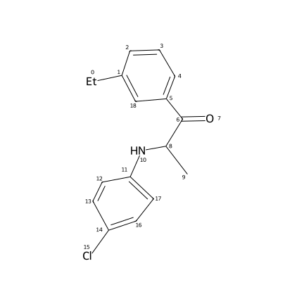 CCc1cccc(C(=O)C(C)Nc2ccc(Cl)cc2)c1